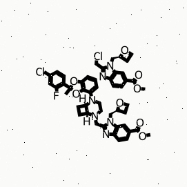 COC(=O)c1ccc2nc(CCl)n(C[C@@H]3CCO3)c2c1.COC(=O)c1ccc2nc(CN3CCN(c4cccc5c4OC(C)(c4ccc(Cl)cc4F)O5)[C@@H]4CC[C@H]43)n(C[C@@H]3CCO3)c2c1